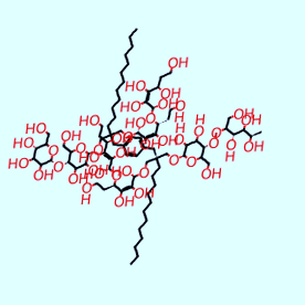 CCCCCCCCCCCCC(CO[C@@H]1OC(CO)[C@@H](O[C@H]2OC(CO)[C@@H](O)C(O)C2O)C(O)C1O)(CO[C@H](O)/C(O)=C(/O)[C@@H](CCO)O[C@H](O)/C(O)=C(/O)[C@H](O)CCO)Cc1ccc(C[C@](CCCCCCCCCCCC)(CO[C@@H]2OC(CO)[C@@H](OOC(CO)[C@@H](O)C(O)[C@@H](C)O)C(O)C2O)CO[C@H](O)/C(O)=C(/O)[C@@H](CCO)O[C@H](O)/C(O)=C(\O)[C@H](O)CCO)cc1